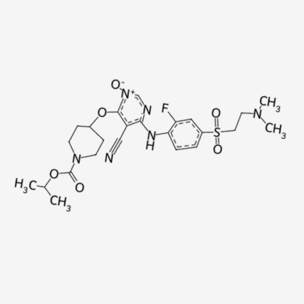 CC(C)OC(=O)N1CCC(Oc2c(C#N)c(Nc3ccc(S(=O)(=O)CCN(C)C)cc3F)nc[n+]2[O-])CC1